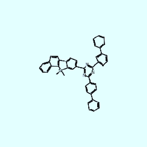 C[Si]1(C)c2cc(-c3nc(-c4ccc(-c5ccccc5)cc4)nc(-c4cccc(-c5ccccc5)c4)n3)ccc2-c2ccc3ccccc3c21